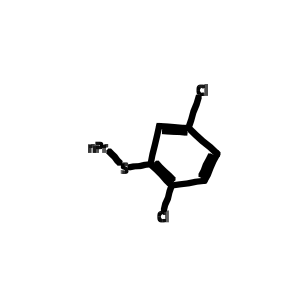 [CH2]CCSc1cc(Cl)ccc1Cl